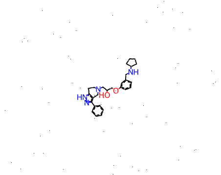 OC(COc1cccc(CNC2CCCC2)c1)CN1CCc2[nH]nc(-c3ccccc3)c2C1